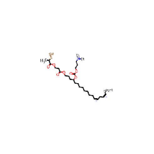 CCCCC/C=C\C/C=C\CCCCCCCCC(CCCOC(=O)CCOC(=O)C(C)SS)OC(=O)OCCCN(CC)CC